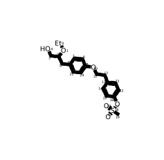 CCOC(CO)Cc1ccc(OCCc2ccc(OS(C)(=O)=O)cc2)cc1